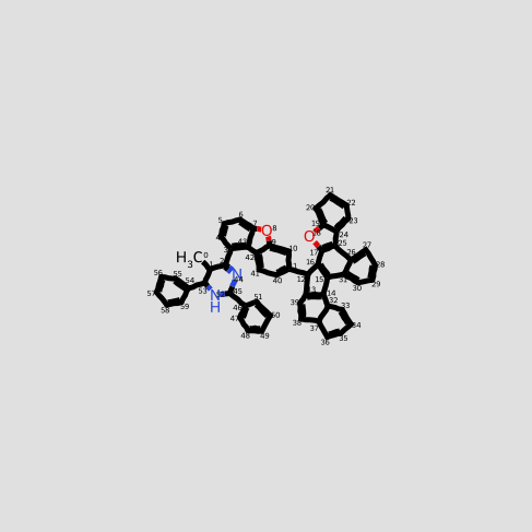 CC1C(c2cccc3oc4cc(C5C6=C(c7c5c5oc8ccccc8c5c5ccccc75)C5C=CC=CC5C=C6)ccc4c23)=NC(c2ccccc2)NC1c1ccccc1